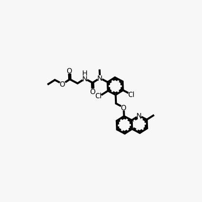 CCOC(=O)CNC(=O)N(C)c1ccc(Cl)c(COc2cccc3ccc(C)nc23)c1Cl